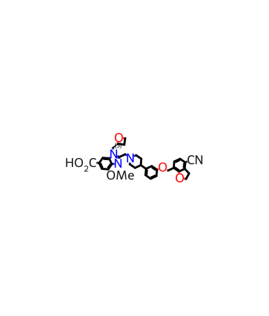 COc1cc(C(=O)O)cc2c1nc(CN1CCC(c3cccc(OCc4ccc(C#N)c5c4OCC5)c3)CC1)n2C[C@@H]1CCO1